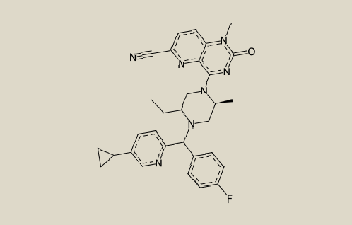 CCC1CN(c2nc(=O)n(C)c3ccc(C#N)nc23)[C@@H](C)CN1C(c1ccc(F)cc1)c1ccc(C2CC2)cn1